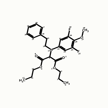 CCCOC(=O)C(C(=O)OCCC)N(CCc1ccccc1)c1cc(F)c(OC)c(F)c1